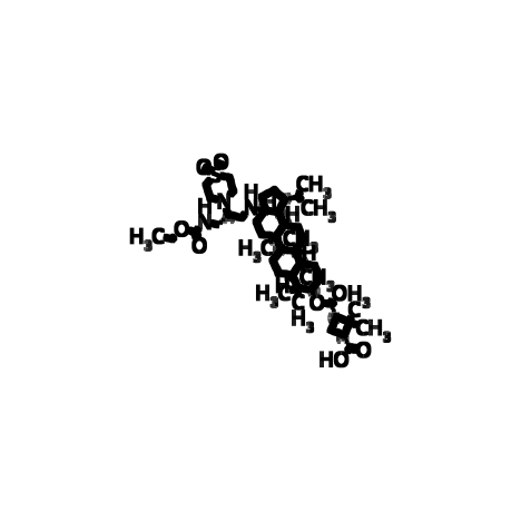 CCOC(=O)NC[C@@H](CN[C@]12CC[C@@H](C(C)C)[C@@H]1[C@H]1CC[C@@H]3[C@@]4(C)CC[C@H](OC(=O)[C@H]5C[C@@H](C(=O)O)C5(C)C)C(C)(C)[C@@H]4CC[C@@]3(C)[C@]1(C)CC2)N1CCS(=O)(=O)CC1